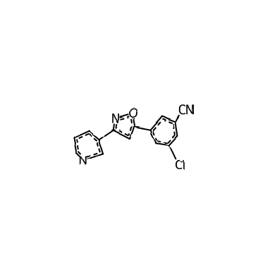 N#Cc1cc(Cl)cc(-c2cc(-c3cccnc3)no2)c1